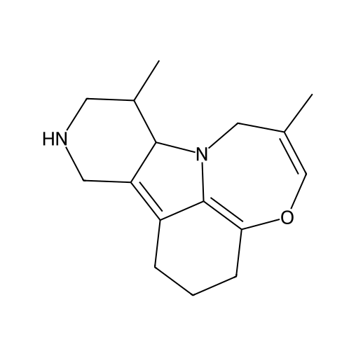 CC1=COC2=C3C(=C4CNCC(C)C4N3C1)CCC2